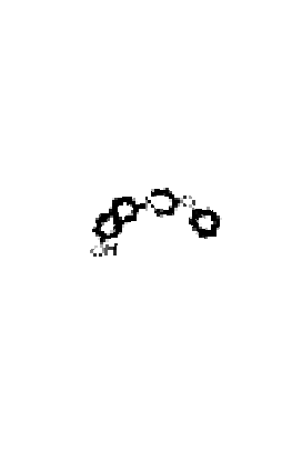 Oc1ccc2ccc(N3CCC(Oc4ccccc4)CC3)cc2c1